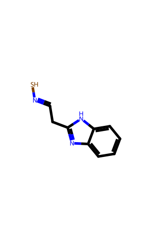 SN=CCc1nc2ccccc2[nH]1